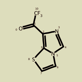 O=C(c1ncn2ccsc12)C(F)(F)F